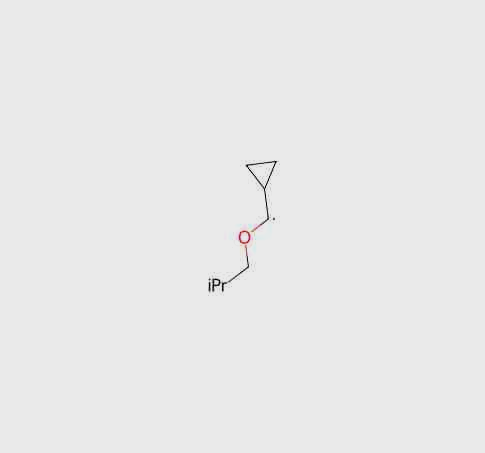 CC(C)CO[CH]C1CC1